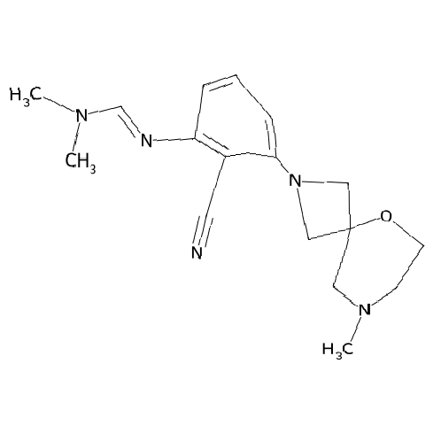 CN(C)/C=N/c1cccc(N2CC3(CN(C)CCO3)C2)c1C#N